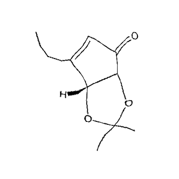 CCC1=CC(=O)C2OC(C)(C)O[C@H]12